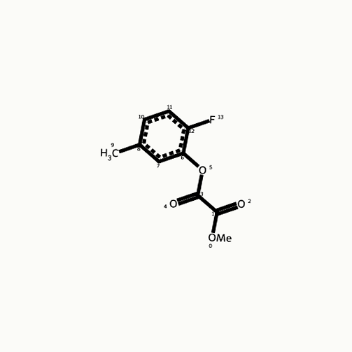 COC(=O)C(=O)Oc1cc(C)ccc1F